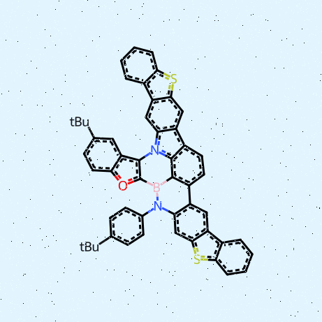 CC(C)(C)c1ccc(N2B3c4oc5ccc(C(C)(C)C)cc5c4-n4c5cc6c(cc5c5ccc(c3c54)-c3cc4c(cc32)sc2ccccc24)sc2ccccc26)cc1